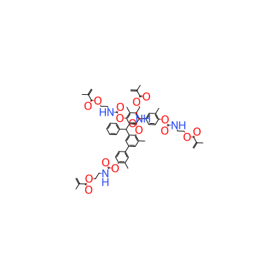 C=C(C)C(=O)OCCNC(=O)Oc1ccc(-c2cc(C)c(OC(=O)NCCOC(=O)C(=C)C)c(C(c3ccccc3)c3cc(-c4ccc(OC(=O)NCCOC(=O)C(=C)C)c(C)c4)cc(C)c3OC(=O)NCCOC(=O)C(=C)C)c2)cc1C